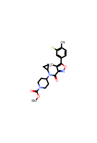 Cc1c(C(=O)N(C2CC2)C2CCN(C(=O)OC(C)(C)C)CC2)noc1-c1ccc(C#N)c(F)c1